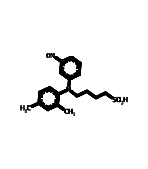 Cc1ccc(N(CCCCS(=O)(=O)O)c2cccc(N=O)c2)c(C)c1